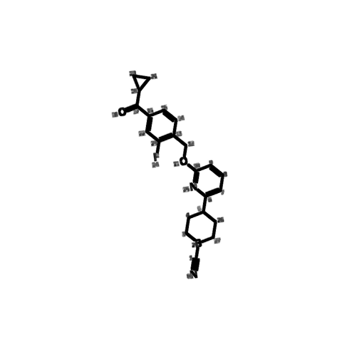 N#CB1CCC(c2cccc(OCc3ccc(C(=O)C4CC4)cc3F)n2)CC1